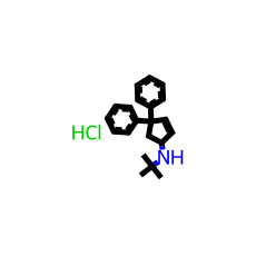 CC(C)(C)NC1C=CC(c2ccccc2)(c2ccccc2)C1.Cl